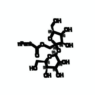 CCCCCC(=O)OC[C@@]1(O[C@H]2O[C@H](CO)[C@@H](O)[C@H](O)[C@H]2O)O[C@H](CO)[C@@H](O)[C@@H]1O